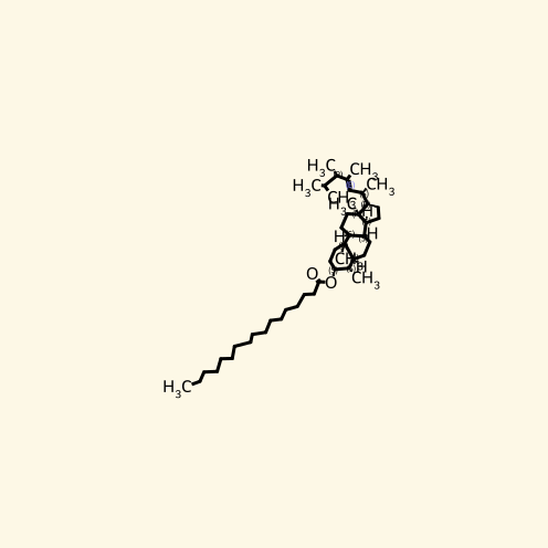 CCCCCCCCCCCCCCCCC(=O)O[C@H]1CC[C@@]2(C)[C@@H](CC[C@@H]3[C@@H]2CC[C@]2(C)[C@@H]([C@H](C)/C=C(\C)[C@H](C)C(C)C)CC[C@@H]32)[C@@H]1C